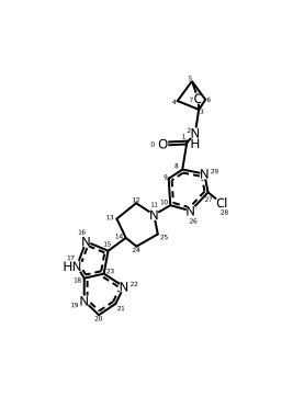 O=C(NC12CC(C1)C2)c1cc(N2CCC(c3n[nH]c4nccnc34)CC2)nc(Cl)n1